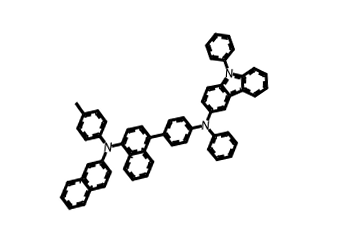 Cc1ccc(N(c2ccc3ccccc3c2)c2ccc(-c3ccc(N(c4ccccc4)c4ccc5c(c4)c4ccccc4n5-c4ccccc4)cc3)c3ccccc23)cc1